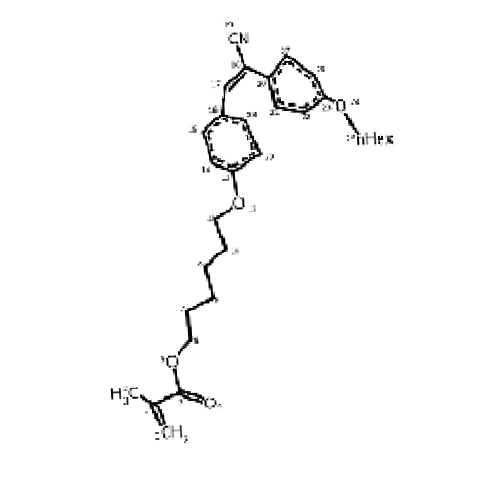 C=C(C)C(=O)OCCCCCCOc1ccc(C=C(C#N)c2ccc(OCCCCCC)cc2)cc1